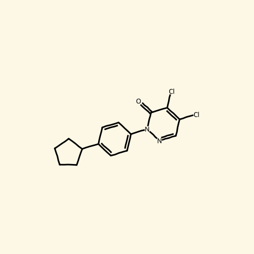 O=c1c(Cl)c(Cl)cnn1-c1ccc(C2CCCC2)cc1